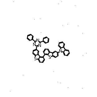 c1ccc(-c2nc(-c3ccccc3)nc(-c3ccc4sc5cccc(-c6cccc7c6sc6ccc(-n8c9ccccc9c9ccccc98)cc67)c5c4c3)n2)cc1